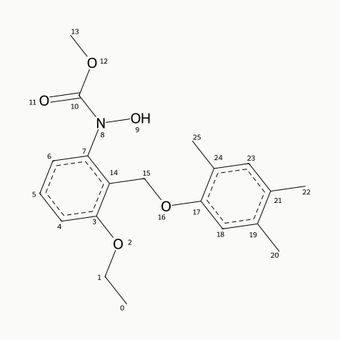 CCOc1cccc(N(O)C(=O)OC)c1COc1cc(C)c(C)cc1C